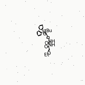 CCOC=CC(=O)NC(=O)NC1CC(CO[Si](c2ccccc2)(c2ccccc2)C(C)(C)C)C1